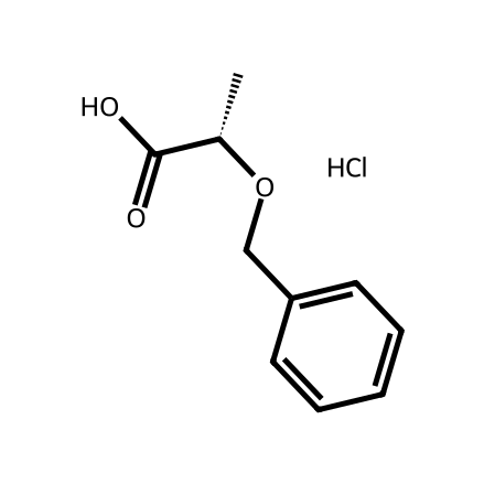 C[C@H](OCc1ccccc1)C(=O)O.Cl